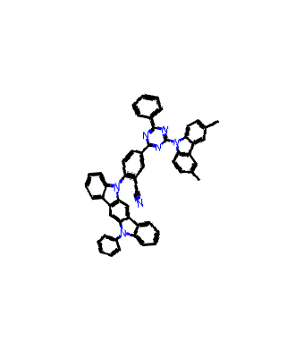 Cc1ccc2c(c1)c1cc(C)ccc1n2-c1nc(-c2ccccc2)nc(-c2ccc(-n3c4ccccc4c4cc5c(cc43)c3ccccc3n5-c3ccccc3)c(C#N)c2)n1